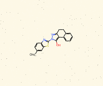 O=Cc1ccc2nc(-n3nc4c(c3O)-c3ccccc3CC4)sc2c1